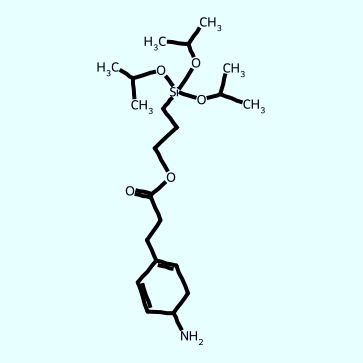 CC(C)O[Si](CCCOC(=O)CCC1=CCC(N)C=C1)(OC(C)C)OC(C)C